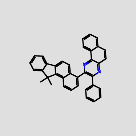 CC1(C)c2ccccc2-c2ccc3c(-c4nc5c(ccc6ccccc65)nc4-c4ccccc4)cccc3c21